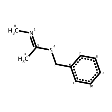 C/N=C(\C)SCc1ccccc1